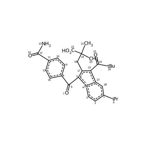 CC(C)c1ccn2c(C(=O)c3ccc(C(N)=O)cc3)c(CC(C)(C)C(=O)O)c(C(=O)C(C)(C)C)c2c1